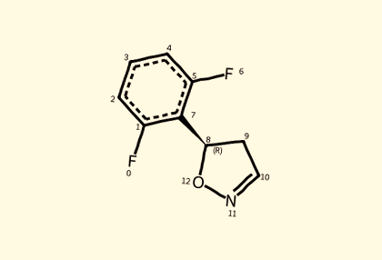 Fc1cccc(F)c1[C@H]1CC=NO1